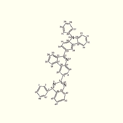 c1ccc(-c2nc(-c3ccc4nc(-c5ccc6c(c5)c5ccccc5n6-c5ccccc5)c5ccccc5c4c3)nc3ccccc23)cc1